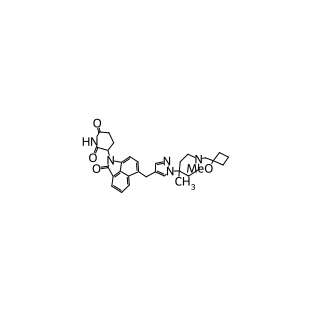 COC1(CN2CCC(C)(n3cc(Cc4ccc5c6c(cccc46)C(=O)N5C4CCC(=O)NC4=O)cn3)CC2)CCC1